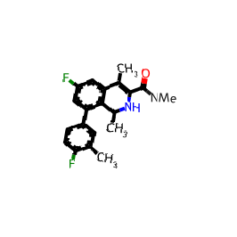 CNC(=O)C1=C(C)c2cc(F)cc(-c3ccc(F)c(C)c3)c2C(C)N1